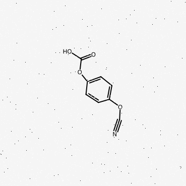 N#COc1ccc(OC(=O)O)cc1